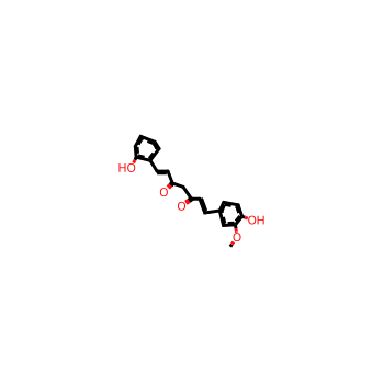 COc1cc(C=CC(=O)CC(=O)C=Cc2ccccc2O)ccc1O